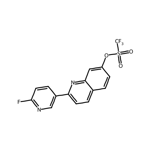 O=S(=O)(Oc1ccc2ccc(-c3ccc(F)nc3)nc2c1)C(F)(F)F